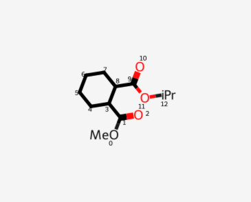 COC(=O)C1CCCCC1C(=O)OC(C)C